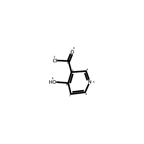 O=C(Cl)c1cnccc1O